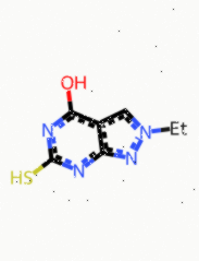 CCn1cc2c(O)nc(S)nc2n1